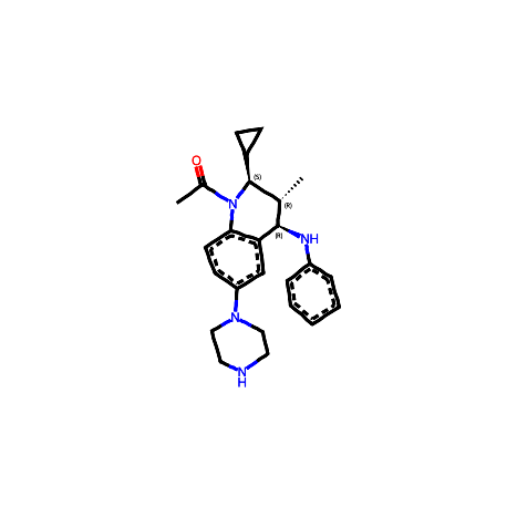 CC(=O)N1c2ccc(N3CCNCC3)cc2[C@H](Nc2ccccc2)[C@@H](C)[C@@H]1C1CC1